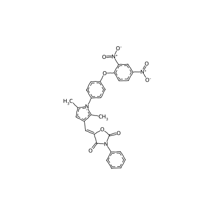 Cc1cc(C=C2OC(=O)N(c3ccccc3)C2=O)c(C)n1-c1ccc(Oc2ccc([N+](=O)[O-])cc2[N+](=O)[O-])cc1